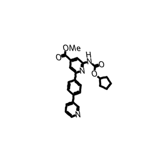 COC(=O)c1cc(NC(=O)OC2CCCC2)nc(-c2ccc(-c3cccnc3)cc2)c1